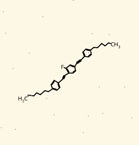 CCCCCCCc1ccc(C#Cc2ccc(C#Cc3ccc(CCCCCC)cc3)cc2F)cc1